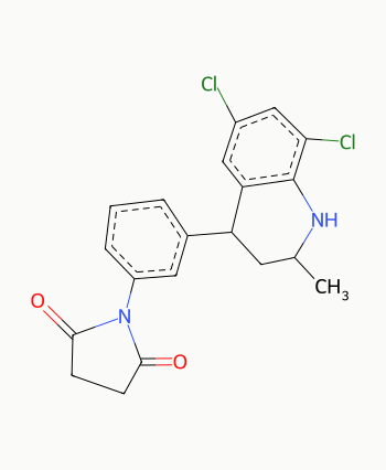 CC1CC(c2cccc(N3C(=O)CCC3=O)c2)c2cc(Cl)cc(Cl)c2N1